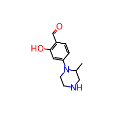 CC1CNCCN1c1ccc(C=O)c(O)c1